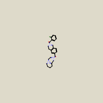 O=C(c1ccc2c(c1)CCN(C(=O)c1ccccc1F)C2)N1CCN2CCCCC2C1